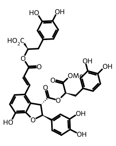 COC(=O)[C@@H](Cc1ccc(O)c(O)c1)OC(=O)[C@H]1c2c(/C=C/C(=O)O[C@H](Cc3ccc(O)c(O)c3)C(=O)O)ccc(O)c2O[C@@H]1c1ccc(O)c(O)c1